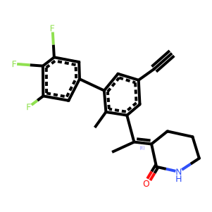 C#Cc1cc(/C(C)=C2\CCCNC2=O)c(C)c(-c2cc(F)c(F)c(F)c2)c1